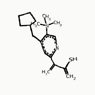 C=C(S)C(=C)c1cc(CC2CCCC2)c([Si](C)(C)C)cn1